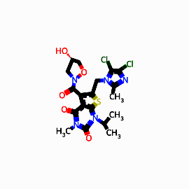 Cc1nc(Cl)c(Cl)n1Cc1sc2c(c1C(=O)N1C[C@H](O)CO1)c(=O)n(C)c(=O)n2C(C)C